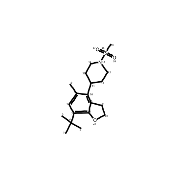 Cc1cc(C(C)(C)C)c2c(c1C1CCN(S(C)(=O)=O)CC1)CCO2